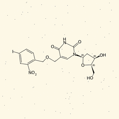 O=c1[nH]c(=O)n([C@H]2C[C@@H](O)[C@@H](CO)O2)cc1COCc1ccc(I)cc1[N+](=O)[O-]